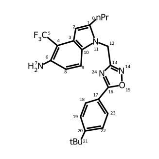 CCCc1cc2c(C(F)(F)F)c(N)ccc2n1Cc1noc(-c2ccc(C(C)(C)C)cc2)n1